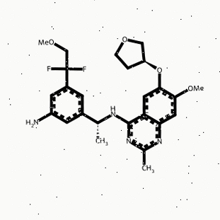 COCC(F)(F)c1cc(N)cc([C@@H](C)Nc2nc(C)nc3cc(OC)c(O[C@H]4CCOC4)cc23)c1